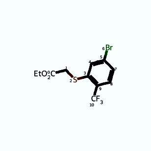 CCOC(=O)CSc1cc(Br)ccc1C(F)(F)F